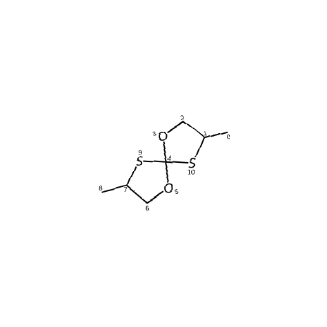 CC1COC2(OCC(C)S2)S1